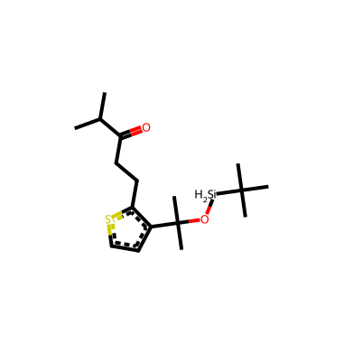 CC(C)C(=O)CCc1sccc1C(C)(C)O[SiH2]C(C)(C)C